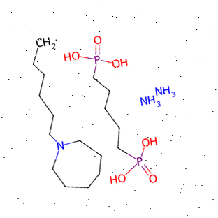 N.N.O=P(O)(O)CCCCCP(=O)(O)O.[CH2]CCCCCN1CCCCCC1